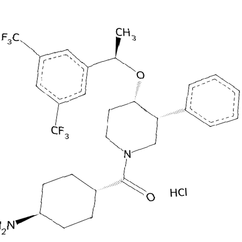 C[C@@H](O[C@H]1CCN(C(=O)[C@H]2CC[C@H](N)CC2)C[C@H]1c1ccccc1)c1cc(C(F)(F)F)cc(C(F)(F)F)c1.Cl